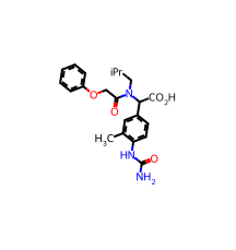 Cc1cc(C(C(=O)O)N(CC(C)C)C(=O)COc2ccccc2)ccc1NC(N)=O